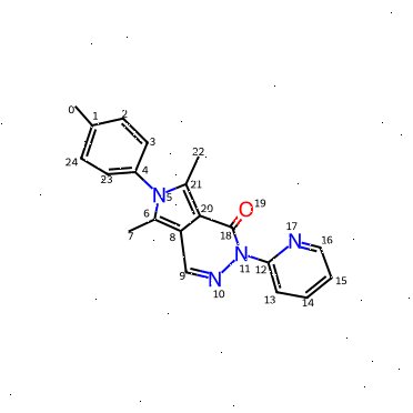 Cc1ccc(-n2c(C)c3cnn(-c4ccccn4)c(=O)c3c2C)cc1